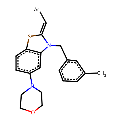 CC(=O)/C=C1\Sc2ccc(N3CCOCC3)cc2N1Cc1cccc(C)c1